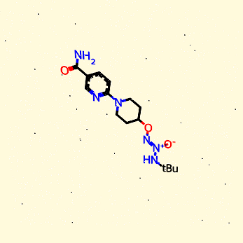 CC(C)(C)N/[N+]([O-])=N/OC1CCN(c2ccc(C(N)=O)cn2)CC1